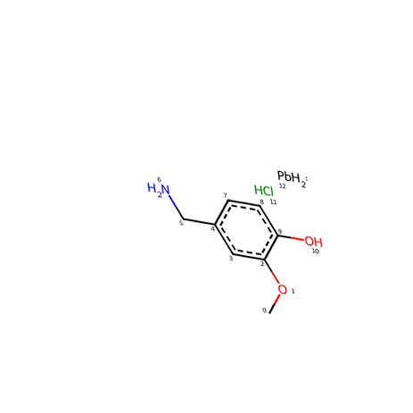 COc1cc(CN)ccc1O.Cl.[PbH2]